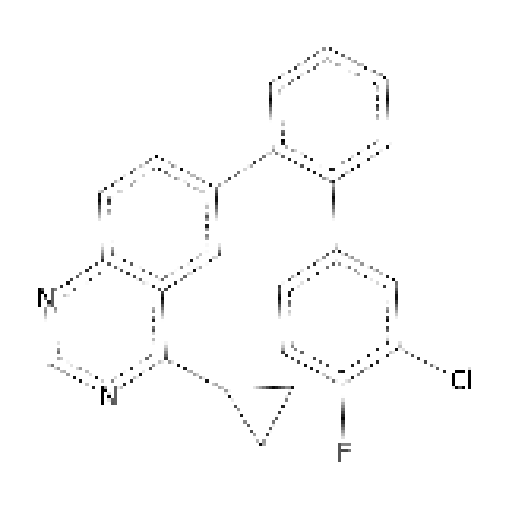 Fc1ccc(-c2ccccc2-c2ccc3ncnc(C4CC4)c3c2)cc1Cl